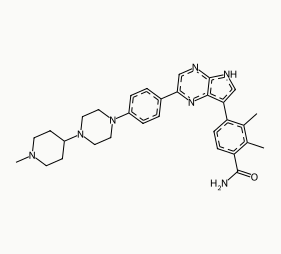 Cc1c(C(N)=O)ccc(-c2c[nH]c3ncc(-c4ccc(N5CCN(C6CCN(C)CC6)CC5)cc4)nc23)c1C